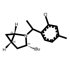 Cc1ccc(C(C)N2[C@H](C(C)(C)C)C[C@@H]3C[C@@H]32)c(Cl)c1